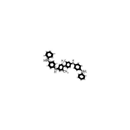 Cc1cc(Nc2ccc(Nc3ccccc3)cc2)ccc1-c1ccc(Nc2ccc(Nc3ccccc3)cc2)cc1C